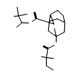 CC(C)CC(C)(C)C(=O)OC12CC3CCC(C(C3)C1)C(C(=O)OC(C(F)(F)F)C(F)(F)S(=O)(=O)O)C2